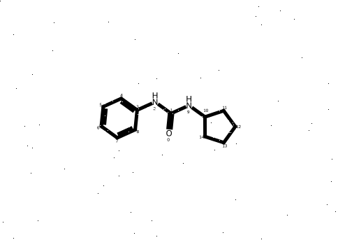 O=C(Nc1cc[c]cc1)NC1CCCC1